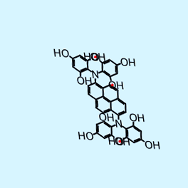 Oc1cc(O)c(N(c2c(O)cc(O)cc2O)c2ccc3ccc4c(N(c5c(O)cc(O)cc5O)c5c(O)cc(O)cc5O)ccc5ccc2c3c54)c(O)c1